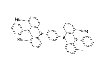 Cc1cccc2c1N(c1ccccc1)c1c(C#N)cccc1B2c1ccc(B2c3cccc(C#N)c3N(c3ccccc3)c3c(C#N)cccc32)cc1